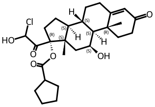 C[C@]12CCC(=O)C=C1CC[C@@H]1[C@@H]2[C@@H](O)C[C@@]2(C)[C@H]1CC[C@]2(OC(=O)C1CCCC1)C(=O)C(O)Cl